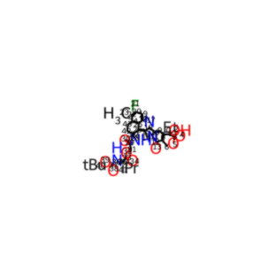 CCC1(O)C(=O)OCc2c1cc1n(c2=O)Cc2c-1nc1cc(F)c(C)c3c1c2[C@@H](NC(=O)COC(=O)[C@@H](NC(=O)OC(C)(C)C)C(C)C)CC3